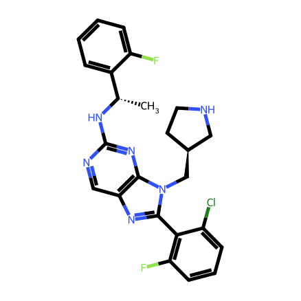 C[C@H](Nc1ncc2nc(-c3c(F)cccc3Cl)n(C[C@H]3CCNC3)c2n1)c1ccccc1F